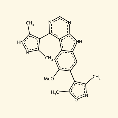 COc1cc2c(cc1-c1c(C)noc1C)[nH]c1ncnc(-c3c(C)n[nH]c3C)c12